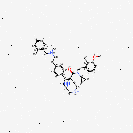 COc1cccc(CN(C(=O)C2=C(c3ccc(CCN(C)Cc4c(C)cccc4C)cc3)CC3CNCC2N3)C2CC2)c1C